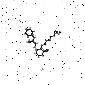 O=C(O)CCCCCCN1C(=O)CCC[C@@H]1C/C=C(\O)Cc1ccccc1